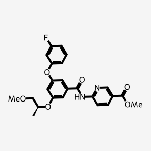 COC[C@H](C)Oc1cc(Oc2cccc(F)c2)cc(C(=O)Nc2ccc(C(=O)OC)cn2)c1